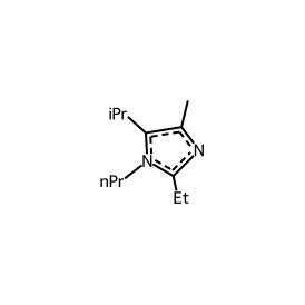 CCCn1c(CC)nc(C)c1C(C)C